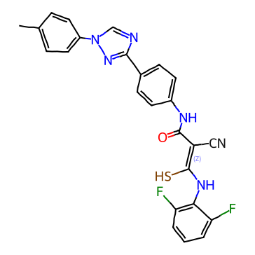 Cc1ccc(-n2cnc(-c3ccc(NC(=O)/C(C#N)=C(\S)Nc4c(F)cccc4F)cc3)n2)cc1